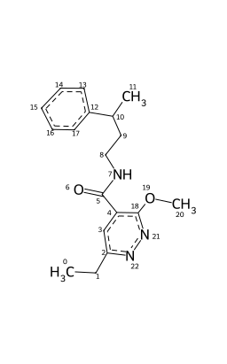 CCc1cc(C(=O)NCCC(C)c2ccccc2)c(OC)nn1